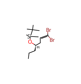 CCC[C@H](CC=C(Br)Br)O[Si](C)(C)C(C)(C)C